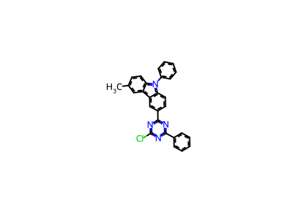 Cc1ccc2c(c1)c1cc(-c3nc(Cl)nc(-c4ccccc4)n3)ccc1n2-c1ccccc1